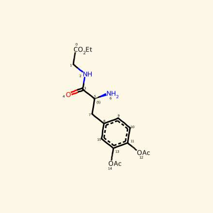 CCOC(=O)CNC(=O)[C@@H](N)Cc1ccc(OC(C)=O)c(OC(C)=O)c1